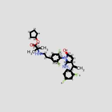 C=C(c1ccc(F)cc1F)c1ccc(=O)n(-c2c(F)cc(CCNC(C)(C)C(=O)OC3CCCC3)cc2F)c1N